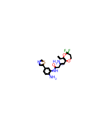 C=CC1=C(/C=C(\N)CC(=O)Nc2cc(-c3cncs3)ccc2N)OCCC(F)(F)O1